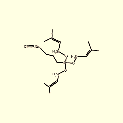 CC(C)=C[SiH2]O[Si](CCCN=C=O)(O[SiH2]C=C(C)C)O[SiH2]C=C(C)C